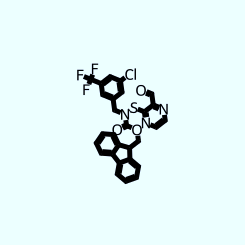 O=Cc1nccnc1SN(Cc1cc(Cl)cc(C(F)(F)F)c1)C(=O)OCC1c2ccccc2-c2ccccc21